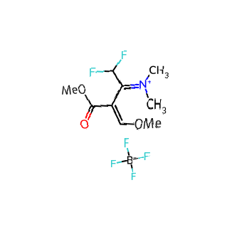 CO/C=C(/C(=O)OC)C(C(F)F)=[N+](C)C.F[B-](F)(F)F